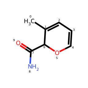 CC1=CC=COC1C(N)=O